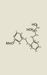 COc1cccc(CCc2ccccc2CC[C@@H](O)CO)c1